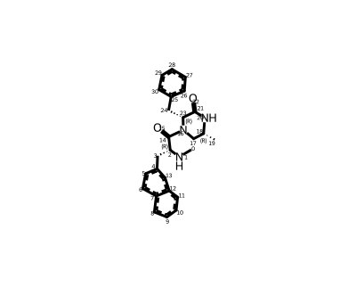 CN[C@H](Cc1ccc2ccccc2c1)C(=O)N1C[C@@H](C)NC(=O)[C@H]1Cc1ccccc1